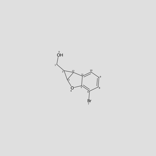 OCC1C2Oc3c(Br)cccc3C12